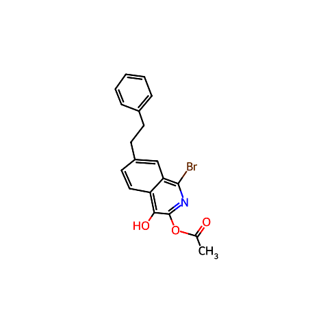 CC(=O)Oc1nc(Br)c2cc(CCc3ccccc3)ccc2c1O